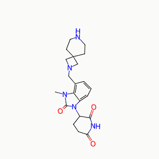 Cn1c(=O)n(C2CCC(=O)NC2=O)c2cccc(CN3CC4(CCNCC4)C3)c21